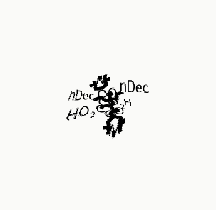 CCCCCCCCCCCCCC(CCCCCCCCCCCCC)(CC(C(=O)OC1CC(C)(C)N(C)C(C)(C)C1)C(C(=O)O)C(=O)O)C(=O)OC1CC(C)(C)N(C)C(C)(C)C1